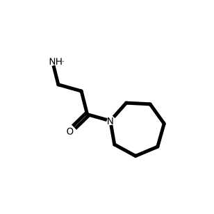 [NH]CCC(=O)N1CCCCCC1